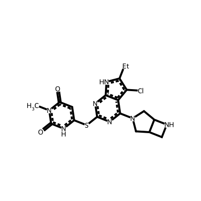 CCc1[nH]c2nc(Sc3cc(=O)n(C)c(=O)[nH]3)nc(N3CC4CNC4C3)c2c1Cl